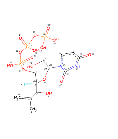 C=C(C)C(O)[C@@](F)(COP(=O)(O)OP(=O)(O)OP(=O)(O)O)O[C@H](CO)n1ccc(=O)[nH]c1=O